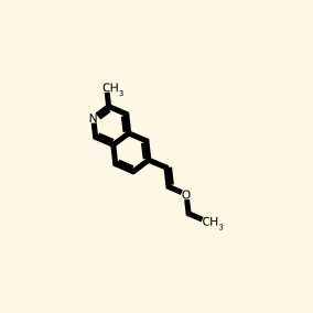 CCO/C=C/c1ccc2cnc(C)cc2c1